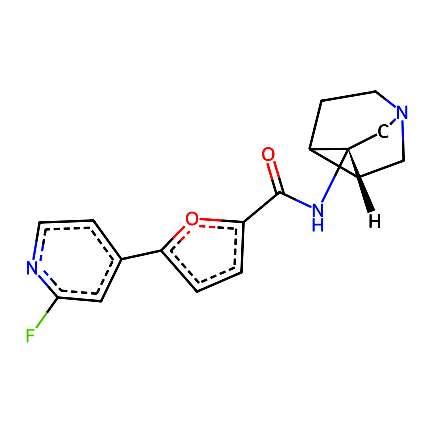 O=C(N[C@H]1CN2CCC1CC2)c1ccc(-c2ccnc(F)c2)o1